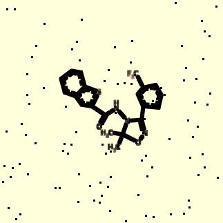 CC1(C)ON=C(c2cccc(C(F)(F)F)c2)N1NC(=O)c1cc2ccccc2s1